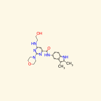 Cc1[nH]c2ccc(NC(=O)c3cc(NCCO)nc(N4CCOCC4)n3)cc2c1C